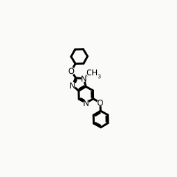 Cn1c(OC2CCCCC2)nc2cnc(Oc3ccccc3)cc21